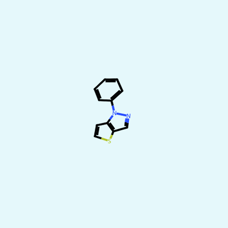 c1ccc(-n2ncc3sccc32)cc1